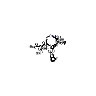 CC(C)(C)OC(=O)CC[C@H](NC(=O)OC(C)(C)C)C(=O)N[C@H]1CCCCC/C=C\[C@@H]2C[C@@]2(C(=O)NS(=O)(=O)C2CC2)NC(=O)[C@@H]2C[C@@H](OC(=O)N3Cc4cccc(F)c4C3)CN2C1=O